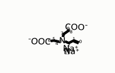 C=CCN(CCC(=O)[O-])CCC(=O)[O-].[Na+].[Na+]